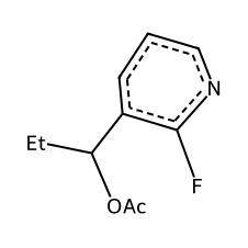 CCC(OC(C)=O)c1cccnc1F